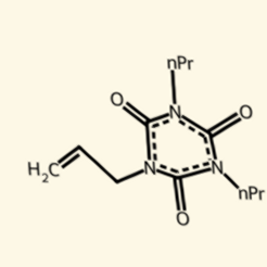 C=CCn1c(=O)n(CCC)c(=O)n(CCC)c1=O